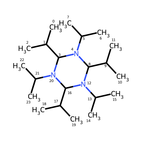 CC(C)C1N(C(C)C)C(C(C)C)N(C(C)C)C(C(C)C)N1C(C)C